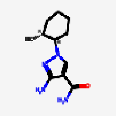 N#C[C@@H]1CCCC[C@H]1n1cc(C(N)=O)c(N)n1